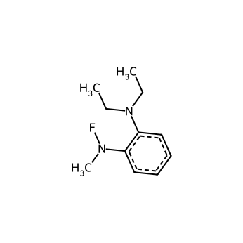 CCN(CC)c1ccccc1N(C)F